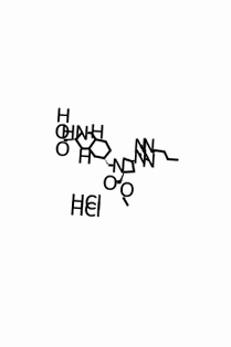 CCCc1nnn([C@H]2C[C@@H](C(=O)OCC)N(C[C@H]3CC[C@H]4CN[C@H](C(=O)O)C[C@H]4C3)C2)n1.Cl.Cl